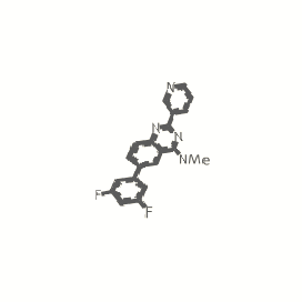 CNc1nc(-c2cccnc2)nc2ccc(-c3cc(F)cc(F)c3)cc12